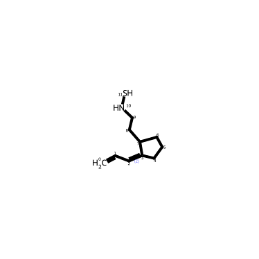 C=C/C=C1/CCCC1CCNS